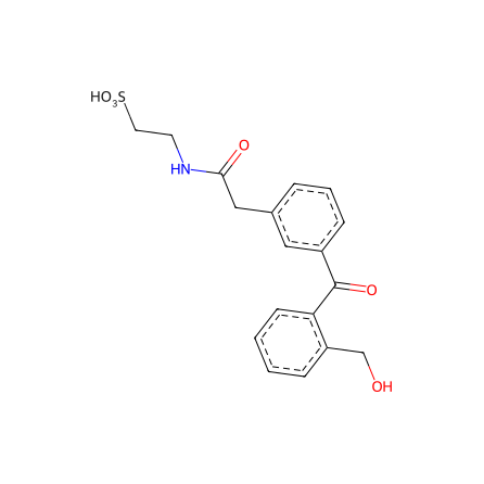 O=C(Cc1cccc(C(=O)c2ccccc2CO)c1)NCCS(=O)(=O)O